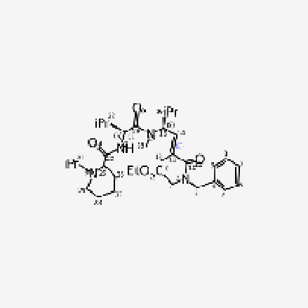 CCOC(=O)CN(Cc1ccccc1)C(=O)/C(C)=C/[C@H](C(C)C)N(C)C(=O)[C@@H](NC(=O)C1CCCCN1C(C)C)C(C)C